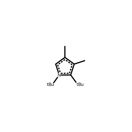 Cc1cn(C(C)(C)C)c(C(C)(C)C)c1C